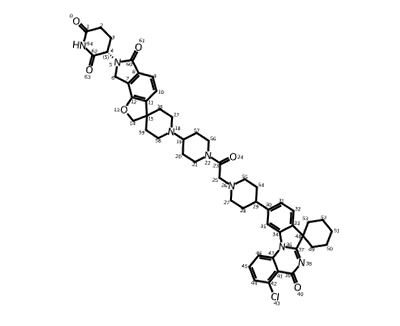 O=C1CC[C@H](N2Cc3c(ccc4c3OCC43CCN(C4CCN(C(=O)CN5CCC(c6ccc7c(c6)-n6c(nc(=O)c8c(Cl)cccc86)C76CCCCC6)CC5)CC4)CC3)C2=O)C(=O)N1